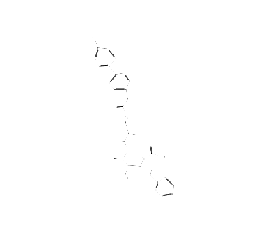 C[C@H]1C(C(O)[C@H](O)CNC(=O)Cc2ccc(-c3ccc(O)cc3)cc2)O[C@@](OCc2ccccc2)(C(=O)O)C[C@H]1O